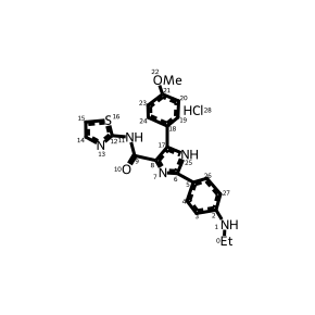 CCNc1ccc(-c2nc(C(=O)Nc3nccs3)c(-c3ccc(OC)cc3)[nH]2)cc1.Cl